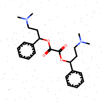 CN(C)CCC(OC(=O)C(=O)OC(CCN(C)C)c1ccccc1)c1ccccc1